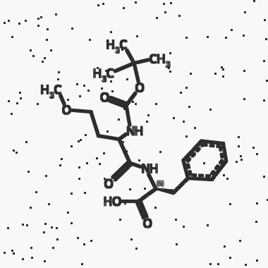 COCCC(NC(=O)OC(C)(C)C)C(=O)N[C@@H](Cc1ccccc1)C(=O)O